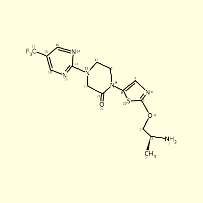 C[C@H](N)COc1ncc(N2CCN(c3ncc(C(F)(F)F)cn3)CC2=O)s1